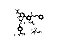 CC(C)Nc1ncc(-c2cc(N)cc(NCCc3ccccc3)c2)n(CC(=O)NCc2ccc(C(=N)N)cc2)c1=O.O=C(O)C(F)(F)F